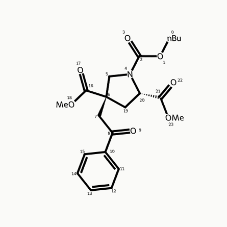 CCCCOC(=O)N1C[C@@](CC(=O)c2ccccc2)(C(=O)OC)C[C@H]1C(=O)OC